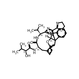 CC(C)[C@H](O)C(=O)N[C@H]1Cc2ccc3c(c2)C2(c4ccccc4N[C@H]2O3)c2oc(nc2C2=NCCO2)[C@H](C(C)C)NC1=O